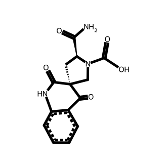 NC(=O)[C@@H]1C[C@@]2(CN1C(=O)O)C(=O)Nc1ccccc1C2=O